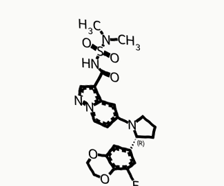 CN(C)S(=O)(=O)NC(=O)c1cnn2ccc(N3CCC[C@@H]3c3cc(F)c4c(c3)OCCO4)cc12